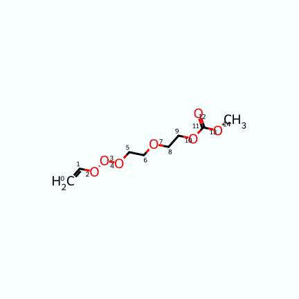 C=COOOCCOCCOC(=O)OC